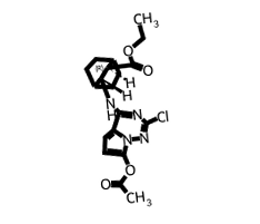 CCOC(=O)[C@@H]1C2CCC(CC2)[C@H]1Nc1nc(Cl)nn2c(OC(C)=O)ccc12